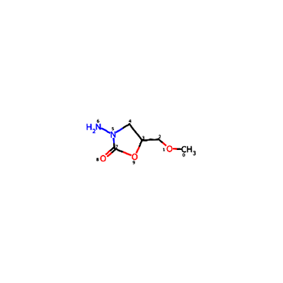 COCC1CN(N)C(=O)O1